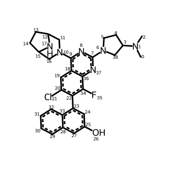 CN(C)C1CCN(c2nc(N3CC4CCC(C3)N4)c3cc(Cl)c(-c4cc(O)cc5ccccc45)c(F)c3n2)C1